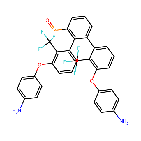 Nc1ccc(Oc2cccc(-c3cccc(P=O)c3-c3cccc(Oc4ccc(N)cc4)c3C(F)(F)F)c2C(F)(F)F)cc1